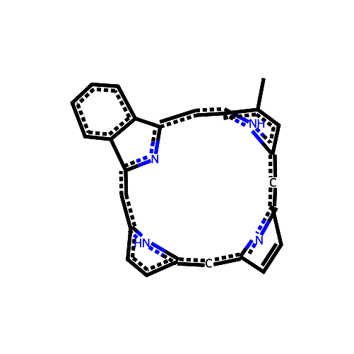 Cc1cc2cc3nc(cc4ccc(cc5nc(cc1[nH]2)-c1ccccc1-5)[nH]4)C=C3